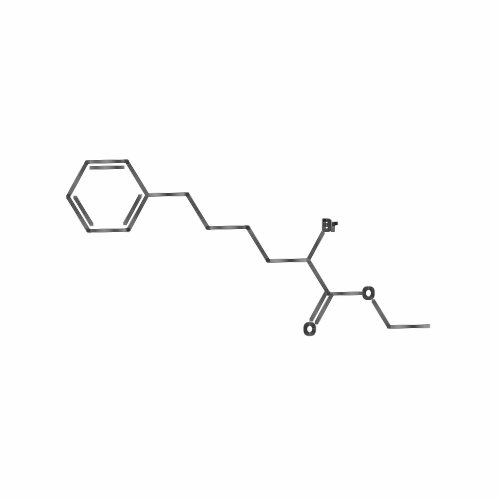 CCOC(=O)C(Br)CCCCc1ccccc1